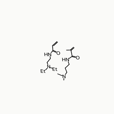 C=C(C)C(=O)NCCCN(C)C.C=CC(=O)NCCN(CC)CC